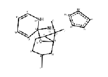 CC1CCC2C(C)(C)C2(OC2(N)C=CC=CN2)C1.c1ccsc1